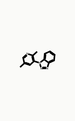 Cc1cnc(C)c(-n2nnc3ccccc32)c1